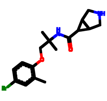 Cc1cc(Br)ccc1OCC(C)(C)NC(=O)C1C2CNCC21